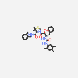 Cc1cc(C)c(NC(=O)N[C@@H](Cc2ccccc2)[C@H](O)C(=O)N2CSC(C)(C)[C@H]2C(=O)NCc2ccccc2C)cc1C